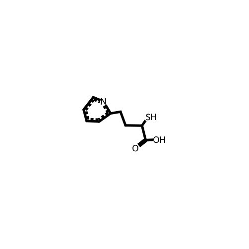 O=C(O)C(S)CCc1ccccn1